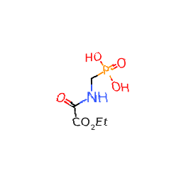 CCOC(=O)C(=O)NCP(=O)(O)O